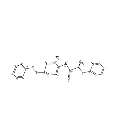 Cl.N[C@@H](Cc1ccccn1)C(=O)Nc1ccc(SCc2ccccc2)cc1